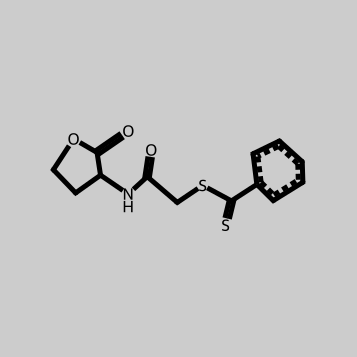 O=C(CSC(=S)c1ccccc1)NC1CCOC1=O